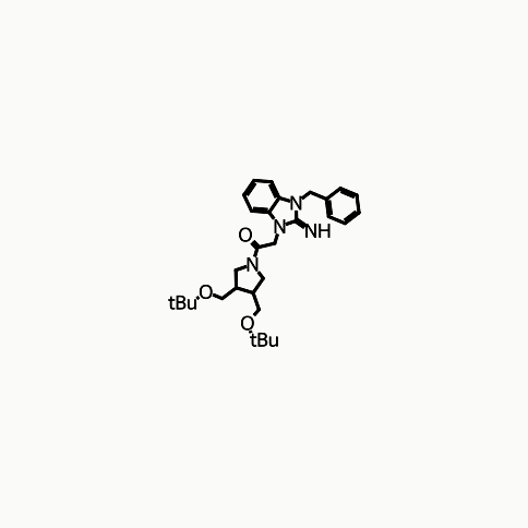 CC(C)(C)OCC1CN(C(=O)Cn2c(=N)n(Cc3ccccc3)c3ccccc32)CC1COC(C)(C)C